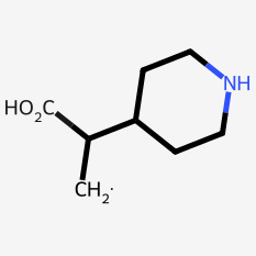 [CH2]C(C(=O)O)C1CCNCC1